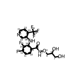 O=C(NOCC(O)CO)c1ccc(F)c(F)c1Nc1cnccc1C(F)(F)F